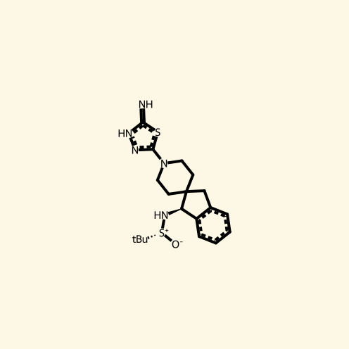 CC(C)(C)[S@@+]([O-])N[C@@H]1c2ccccc2CC12CCN(c1n[nH]c(=N)s1)CC2